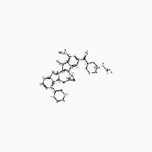 COc1cc(C(=O)N2CCC[C@@H](CN)C2)cc2nc(-c3cc4cccc(C5CCCOC5)c4n3CC3CC3)n(C)c12